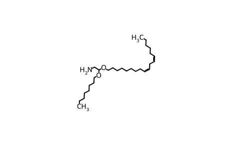 CCCCC/C=C\C/C=C\CCCCCCCCOC(CN)OCCCCCCCC